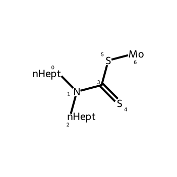 CCCCCCCN(CCCCCCC)C(=S)[S][Mo]